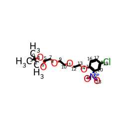 CC(C)(C)OC(=O)COCCOCCOc1ccc(Cl)cc1[N+](=O)[O-]